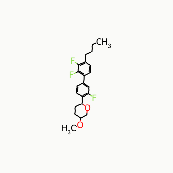 CCCCc1ccc(-c2ccc(C3CCC(OC)CO3)c(F)c2)c(F)c1F